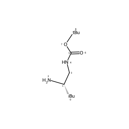 CCC(C)[C@H](N)CNC(=O)OC(C)(C)C